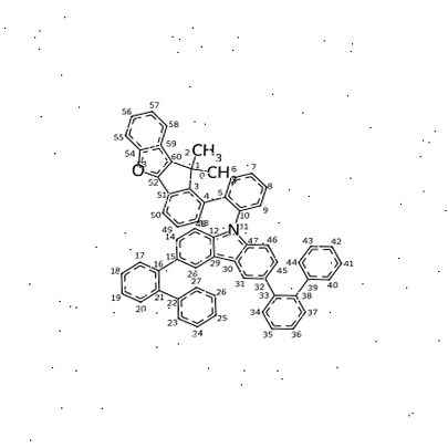 CC1(C)c2c(-c3ccccc3-n3c4ccc(-c5ccccc5-c5ccccc5)cc4c4cc(-c5ccccc5-c5ccccc5)ccc43)cccc2-c2oc3ccccc3c21